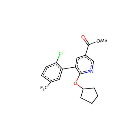 COC(=O)c1cnc(OC2CCCC2)c(-c2cc(C(F)(F)F)ccc2Cl)c1